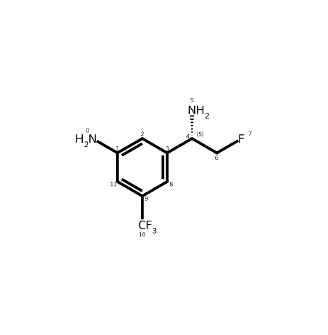 Nc1cc([C@H](N)CF)cc(C(F)(F)F)c1